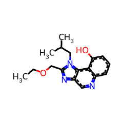 CCOCc1nc2cnc3cccc(O)c3c2n1CC(C)C